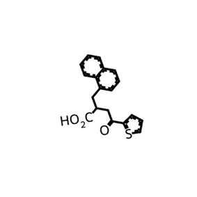 O=C(CC(Cc1cccc2ccccc12)C(=O)O)c1cccs1